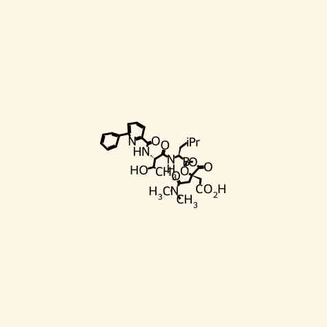 CC(C)C[C@H](NC(=O)[C@@H](NC(=O)c1cccc(-c2ccccc2)n1)[C@@H](C)O)B1OC(=O)[C@](CC(=O)O)(CC(=O)N(C)C)O1